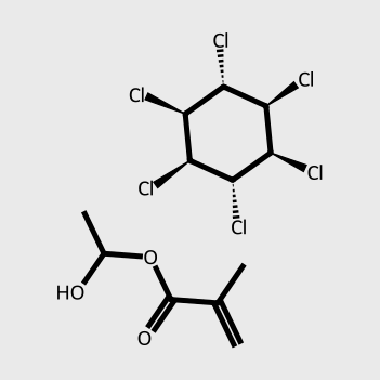 C=C(C)C(=O)OC(C)O.Cl[C@H]1[C@H](Cl)[C@@H](Cl)[C@@H](Cl)[C@H](Cl)[C@H]1Cl